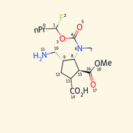 CCCC(F)OC(=O)N(C)[C@H]1[C@@H](CN)CC(C(=O)O)[C@@H]1C(=O)OC